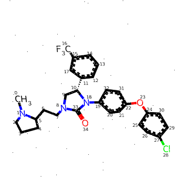 CN1CCCC1CCN1C[C@H](c2cccc(C(F)(F)F)c2)N(c2ccc(Oc3ccc(Cl)cc3)cc2)C1=O